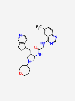 O=C(CNc1ncnc2ccc(C(F)(F)F)cc12)NC1CN(C2CCCOCC2)C[C@@H]1CC1CCc2cnccc21